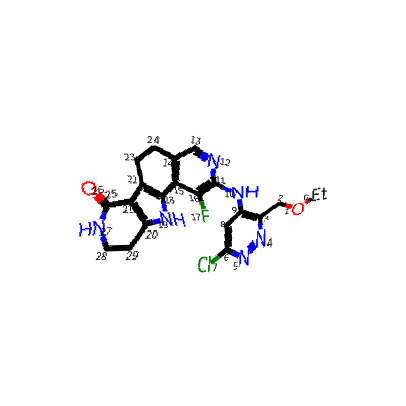 CCOCc1nnc(Cl)cc1Nc1ncc2c(c1F)-c1[nH]c3c(c1CC2)C(=O)NCC3